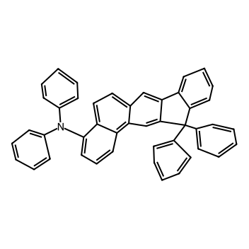 c1ccc(N(c2ccccc2)c2cccc3c2ccc2cc4c(cc23)C(c2ccccc2)(c2ccccc2)c2ccccc2-4)cc1